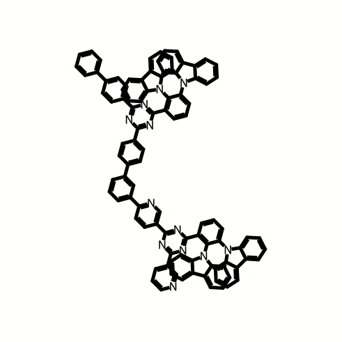 c1ccc(-c2ccc(-c3nc(-c4ccc(-c5cccc(-c6ccc(-c7nc(-c8cccnc8)nc(-c8cccc(-n9c%10ccccc%10c%10ccccc%109)c8-n8c9ccccc9c9ccccc98)n7)cn6)c5)cc4)nc(-c4cccc(-n5c6ccccc6c6ccccc65)c4-n4c5ccccc5c5ccccc54)n3)cc2)cc1